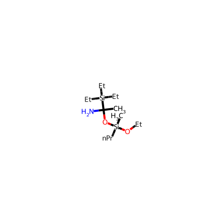 CCC[Si](C)(OCC)OC(C)(N)[Si](CC)(CC)CC